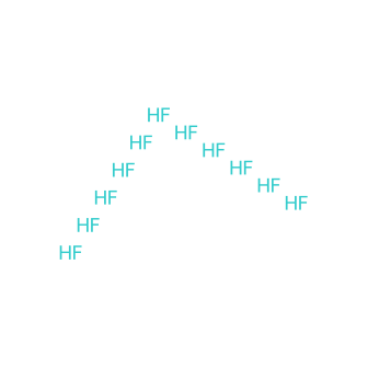 F.F.F.F.F.F.F.F.F.F.F